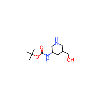 CC(C)(C)OC(=O)NC1CNCC(CO)C1